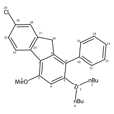 CCC[CH2][Zr]([CH2]CCC)[c]1cc(OC)c2c(c1-c1ccccc1)Cc1cc(Cl)ccc1-2